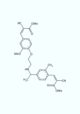 COC(=O)C(C#N)=Cc1ccc(OCCNC(C)c2ccc(C=C(C#N)C(=O)OC)c(C)c2)c(OC)c1